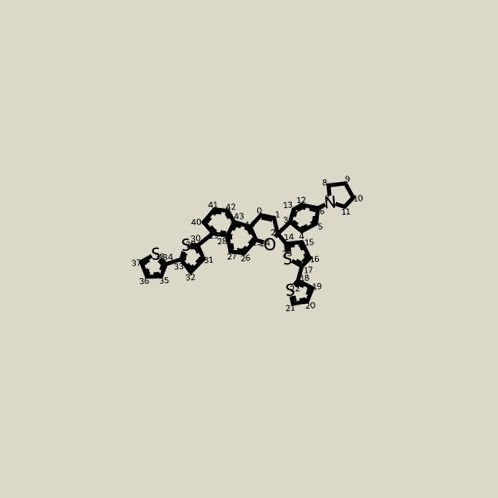 C1=CC(c2ccc(N3CCCC3)cc2)(c2ccc(-c3cccs3)s2)Oc2ccc3c(-c4ccc(-c5cccs5)s4)cccc3c21